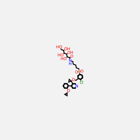 O=C(NCCCCCS(=O)(=O)c1ccc(Cl)c(COC2(c3cnccc3-c3ccccc3OC3CC3)CC2)c1)C(O)C(O)C(O)C(O)CO